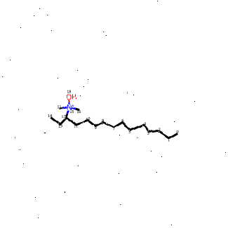 CCCCCCCCCCCCC(CC)[N+](C)(C)O